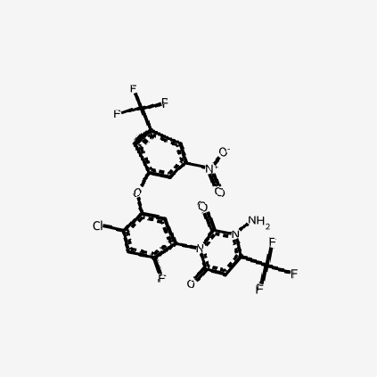 Nn1c(C(F)(F)F)cc(=O)n(-c2cc(Oc3cc([N+](=O)[O-])cc(C(F)(F)F)c3)c(Cl)cc2F)c1=O